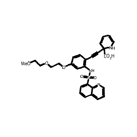 COCCOCCOc1ccc(C#CC2(C(=O)O)C=CC=CN2)c(NS(=O)(=O)c2cccc3cccnc23)c1